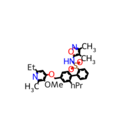 CCCc1cc(COc2cc(CC)nc(C)c2OC)ccc1-c1ccccc1S(=O)(=O)Nc1onc(C)c1C